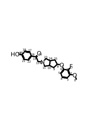 COc1cccc(OC2CC3CN(CC(=O)c4ccc(O)cc4)CC3C2)c1F